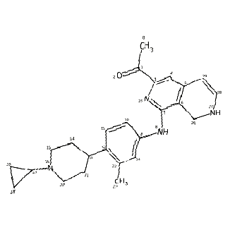 CC(=O)c1cc2c(c(Nc3ccc(C4CCN(C5CC5)CC4)c(C)c3)n1)CNC=C2